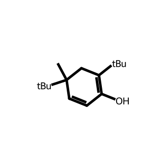 CC(C)(C)C1=C(O)C=CC(C)(C(C)(C)C)C1